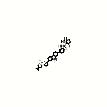 FC1(F)c2cc(-c3ccc4nc([C@H]5N[C@@H]6CC[C@H]5C6)[nH]c4c3)ccc2-c2ccc(-c3ccc([C@@H]4CC5(CC5)CN4)[nH]3)cc21